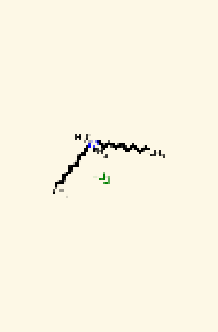 CCCCCCCCCC[N+](C)(C)CCCCCCCCCC.Cl.[Cl-]